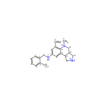 COc1cc(NCc2ccccc2C(F)(F)F)cc2c1N(C)CC1CNCC21